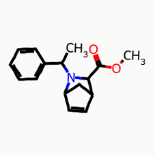 COC(=O)C1C2C=CC(C2)N1C(C)c1ccccc1